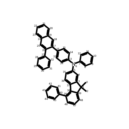 CC1(C)c2cc(N(c3ccccc3)c3ccc(-c4cc5ccccc5cc4-c4ccccc4)cc3)ccc2-c2c(-c3ccccc3)cccc21